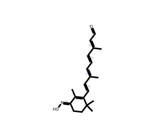 CC1=C(/C=C/C(C)=C/C=C/C(C)=C/C=O)C(C)(C)CC/C1=N\O